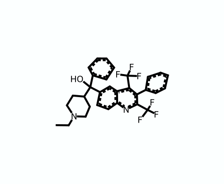 CCN1CCC(C(O)(c2ccccc2)c2ccc3nc(C(F)(F)F)c(-c4ccccc4)c(C(F)(F)F)c3c2)CC1